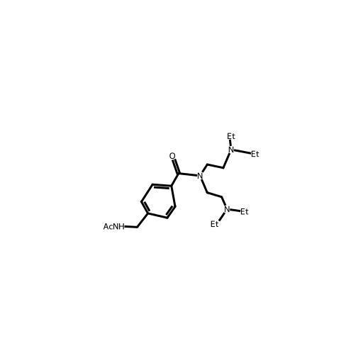 CCN(CC)CCN(CCN(CC)CC)C(=O)c1ccc(CNC(C)=O)cc1